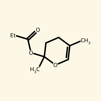 CCC(=O)OC1(C)CCC(C)=CO1